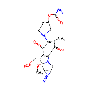 COC12C(CO)C3=C(C(=O)C(C)=C(N4CCC(OC(N)=O)C4)C3=O)N1CC1NC12